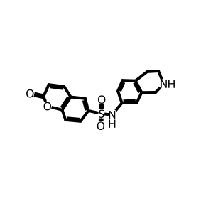 O=c1ccc2cc(S(=O)(=O)Nc3ccc4c(c3)CNCC4)ccc2o1